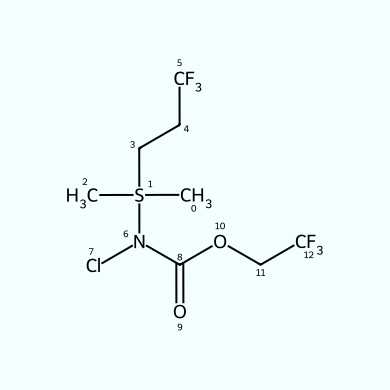 CS(C)(CCC(F)(F)F)N(Cl)C(=O)OCC(F)(F)F